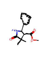 COC(=O)C1C(c2ccccc2)NC(=O)C1(C)C